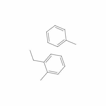 CCc1ccccc1C.Cc1ccccc1